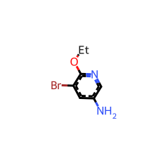 CCOc1ncc(N)cc1Br